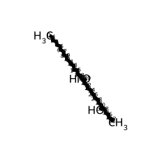 CCCCCCCCCCCCCCCCCCNC(=O)CCCCCCCCCCC(O)CCCCCC